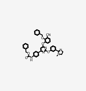 CN1CCN=C1c1cccc(Oc2nc(Oc3cccc(C#N)c3OCc3ccccc3)cc(-c3ccc(NC(=O)OCc4ccccc4)cc3)n2)c1